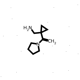 C=C(N1CCCC1)C1(CN)CC1